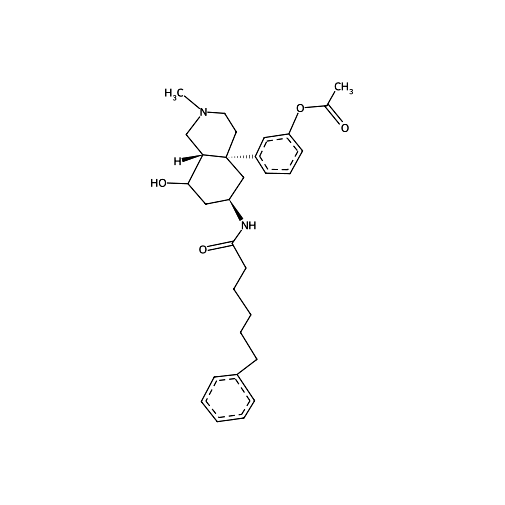 CC(=O)Oc1cccc([C@@]23CCN(C)C[C@H]2C(O)C[C@H](NC(=O)CCCCCc2ccccc2)C3)c1